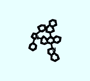 c1ccc(-c2ccc(-c3ccccc3)n2-c2ccc3c(-c4ccc5ccccc5n4)c4ccccc4c(-c4ccc5ccccc5c4)c3c2)cc1